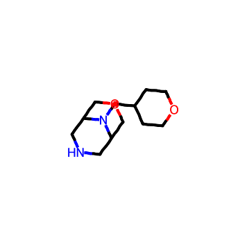 C1CC(CN2C3CNCC2COC3)CCO1